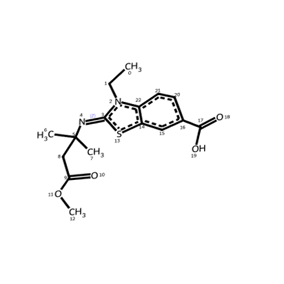 CCn1/c(=N/C(C)(C)CC(=O)OC)sc2cc(C(=O)O)ccc21